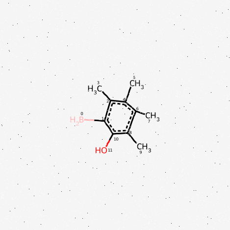 Bc1c(C)c(C)c(C)c(C)c1O